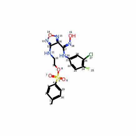 Cc1ccc(S(=O)(=O)OCCNc2nonc2/C(=N\O)Nc2ccc(F)c(Cl)c2)cc1